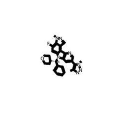 Cc1nnn(C)c1-c1cnc2c3c4cnn(C)c4c(F)cc3n([C@H](c3ccccc3)C3CCOCC3)c2c1